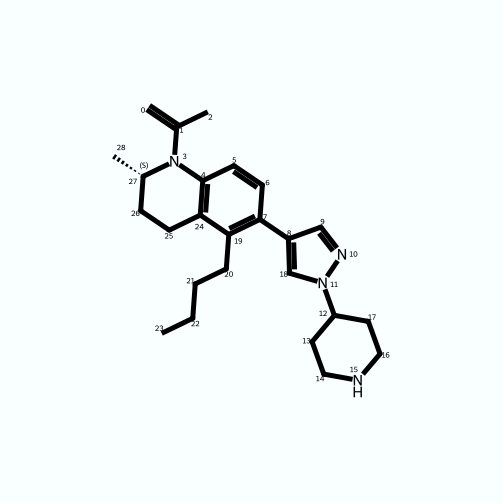 C=C(C)N1c2ccc(-c3cnn(C4CCNCC4)c3)c(CCCC)c2CC[C@@H]1C